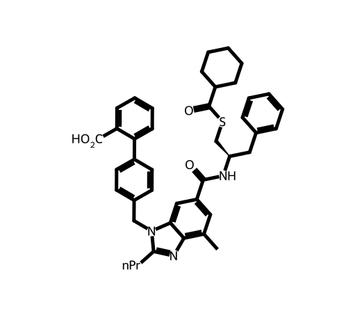 CCCc1nc2c(C)cc(C(=O)N[C@@H](CSC(=O)C3CCCCC3)Cc3ccccc3)cc2n1Cc1ccc(-c2ccccc2C(=O)O)cc1